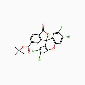 CC(C)(C)OC(=O)c1ccc2c(c1)C1(OC2=O)c2cc(F)c(Br)cc2Oc2cc(Br)c(F)cc21